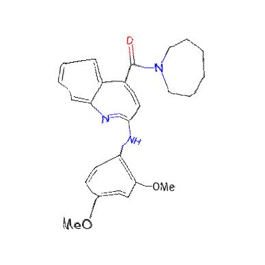 COc1ccc(Nc2cc(C(=O)N3CCCCCC3)c3ccccc3n2)c(OC)c1